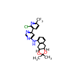 CC1(C)O[C@H]2Cc3c(cccc3Nc3cc(-c4ccc(C(F)(F)F)nc4Cl)ncn3)C[C@H]2O1